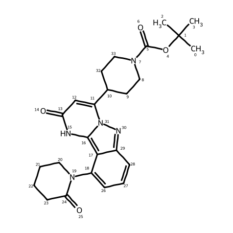 CC(C)(C)OC(=O)N1CCC(c2cc(=O)[nH]c3c4c(N5CCCCC5=O)cccc4nn23)CC1